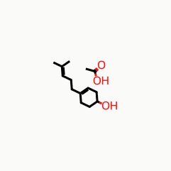 CC(=O)O.CC(C)=CCCC1=CCC(O)CC1